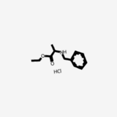 CCOC(=O)C(C)NCc1ccccc1.Cl